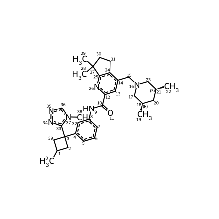 CC1CC(c2cccc(NC(=O)c3cc(CN4C[C@H](C)C[C@H](C)C4)c4c(n3)C(C)(C)CC4)c2)(c2nncn2C)C1